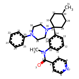 CN(C(=O)c1ccncc1)c1cccc([C@]2(N3CCN(c4ccccc4)CC3)CC[C@H](C)CC2)c1